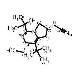 CC[C@@H]1N=C(C(C)(C)C)N2C[C@H](CC#N)CC2=C1C(C)(C)C